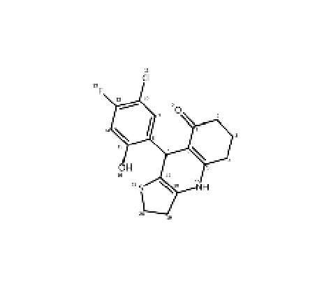 O=C1CCCC2=C1C(c1cc(Cl)c(F)cc1O)C1=C(CCS1)N2